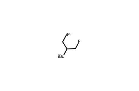 CCC(C)C(CF)CC(C)C